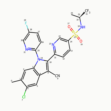 Cc1cc2c(cc1Cl)c(C#N)c(-c1ccc(S(=O)(=O)N[C@@H](C)C(F)(F)F)cn1)n2-c1ccc(F)cn1